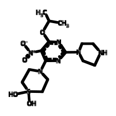 CC(C)Oc1nc(N2CCNCC2)nc(N2CCS(O)(O)CC2)c1[N+](=O)[O-]